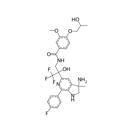 COc1cc(C(=O)NCC(O)(c2cc3c(c(-c4ccc(F)cc4)n2)NCC3(C)N)C(F)(F)F)ccc1OCC(C)O